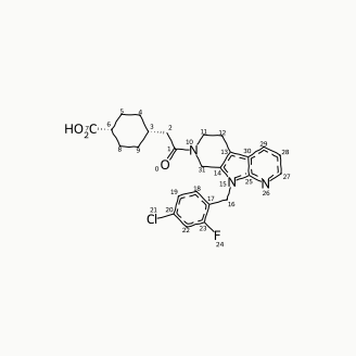 O=C(C[C@H]1CC[C@@H](C(=O)O)CC1)N1CCc2c(n(Cc3ccc(Cl)cc3F)c3ncccc23)C1